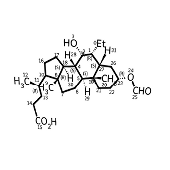 CC[C@H]1[C@@H](O)[C@@H]2[C@H](CC[C@]3(C)C([C@H](C)CCC(=O)O)CC[C@@H]23)[C@@]2(C)CC[C@@H](OC=O)C[C@@H]12